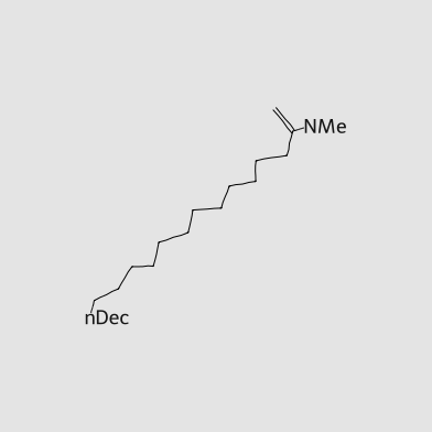 C=C(CCCCCCCCCCCCCCCCCCCCCC)NC